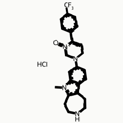 Cl.Cn1c2c(c3ccc(N4CC=C(c5ccc(C(F)(F)F)cc5)[N+](=O)C4)cc31)CCNCC2